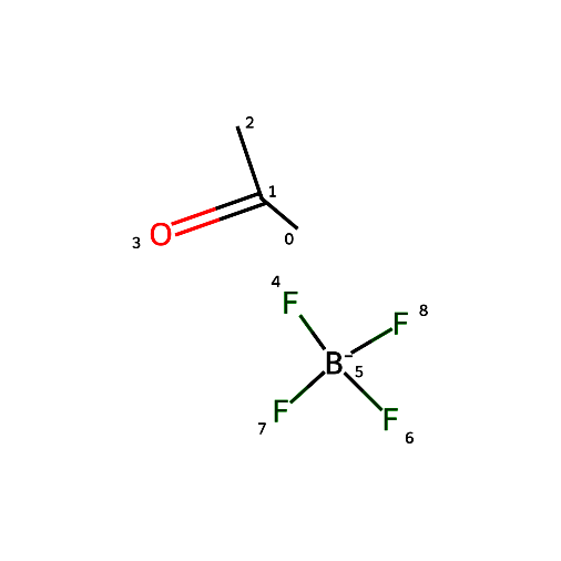 CC(C)=O.F[B-](F)(F)F